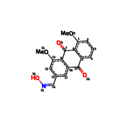 COc1cccc2c1C(=O)c1c(OC)cc(/C=N\O)cc1C2=O